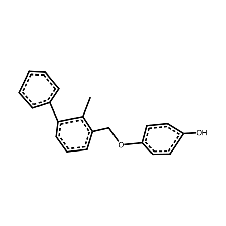 Cc1c(COc2ccc(O)cc2)cccc1-c1ccccc1